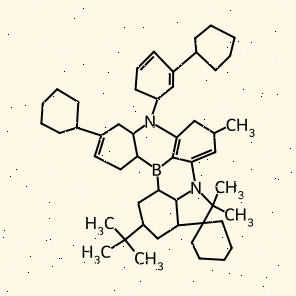 CC1C=C2C3=C(C1)N(C1C=C(C4CCCCC4)C=CC1)C1CC(C4CCCCC4)=CCC1B3C1CC(C(C)(C)C)CC3C1N2C(C)(C)C31CCCCC1